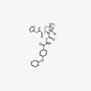 C[C@@]12C[C@@H]1N(C(=O)CNC(=O)c1ccc(Oc3ccccc3)cc1)[C@H](C(=O)NCc1cccs1)C2